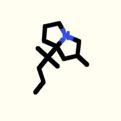 CCCC(C)(C)C12CCCN1CC(C)C2